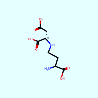 NC(CCN[C@@H](CC(=O)O)C(=O)O)C(=O)O